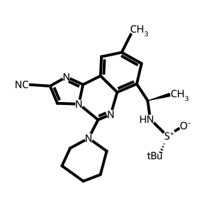 Cc1cc([C@@H](C)N[S@+]([O-])C(C)(C)C)c2nc(N3CCCCC3)n3cc(C#N)nc3c2c1